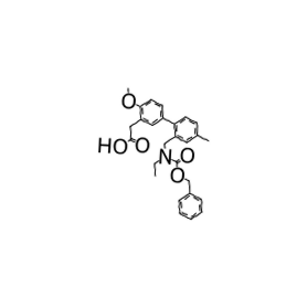 CCN(Cc1cc(C)ccc1-c1ccc(OC)c(CC(=O)O)c1)C(=O)OCc1ccccc1